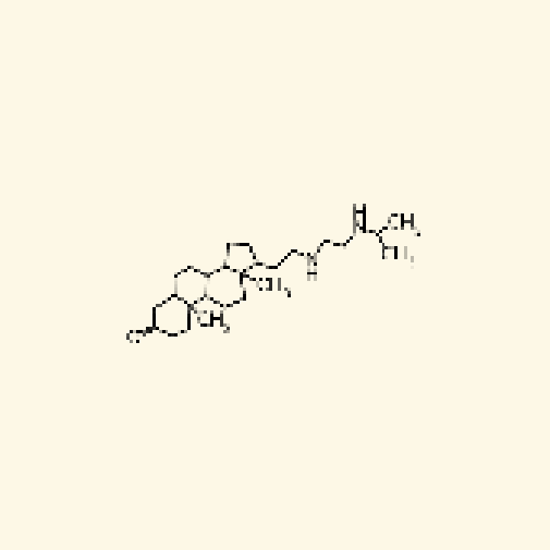 CC(C)NCCNCCC1CCC2C3CCC4CC(=O)CCC4(C)C3CCC12C